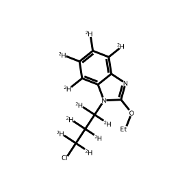 [2H]c1c([2H])c([2H])c2c(nc(OCC)n2C([2H])([2H])C([2H])([2H])C([2H])([2H])Cl)c1[2H]